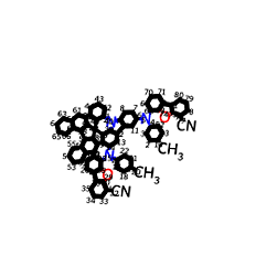 Cc1ccc(N(c2ccc3c(c2)c2cc(N(c4ccc(C)cc4)c4cccc5c4oc4c(C#N)cccc45)cc4c2n3-c2ccccc2C42c3ccc4ccccc4c3-c3c2ccc2ccccc32)c2cccc3c2oc2c(C#N)cccc23)cc1